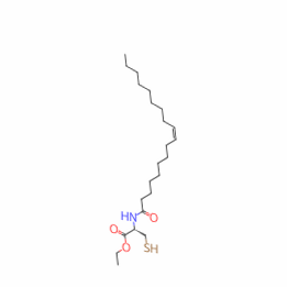 CCCCCCCC/C=C\CCCCCCCC(=O)N[C@@H](CS)C(=O)OCC